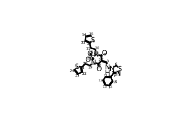 O=C1C(=CNN2CSN=C2c2ccccc2)C(=O)N(CCc2cccs2)S(=O)(=O)N1CCc1cccs1